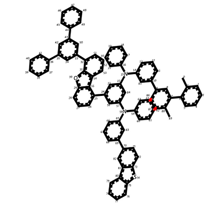 Cc1ccccc1-c1cc(-c2cccc(N(c3ccccc3)c3cc(-c4cccc5oc6c(-c7cc(-c8ccccc8)cc(-c8ccccc8)c7)cccc6c45)cc(N(c4ccccc4)c4cccc(-c5ccc6sc7ccccc7c6c5)c4)c3)c2)ccc1C